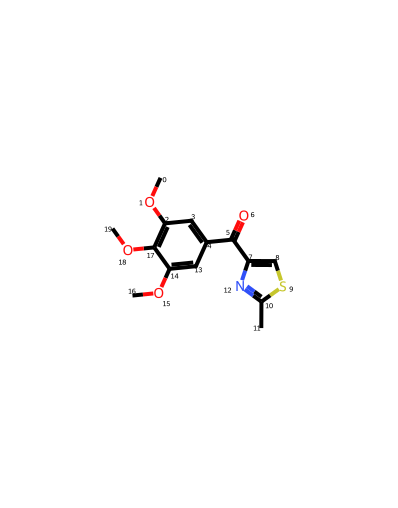 COc1cc(C(=O)c2csc(C)n2)cc(OC)c1OC